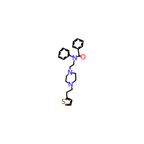 O=C(c1ccccc1)N(CCN1CCN(CCc2cccs2)CC1)c1ccccc1